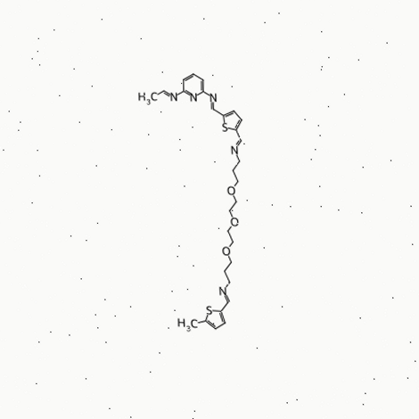 CC=Nc1cccc(N=Cc2ccc(C=NCCCOCCOCCOCCCN=Cc3ccc(C)s3)s2)n1